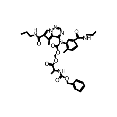 CCCNC(=O)c1ccc(C)c(N(C(=O)OCOC(=O)C(C)NC(=O)OCc2ccccc2)c2ncnn3cc(C(=O)NCCC)c(C)c23)c1